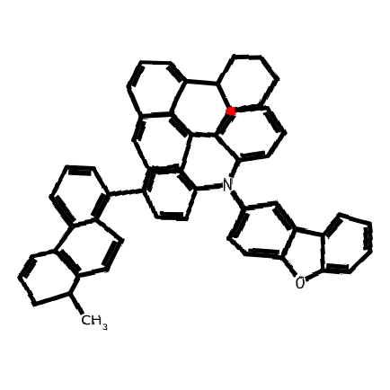 CC1CC=Cc2c1ccc1c(-c3ccc(N(c4ccc5oc6ccccc6c5c4)c4ccccc4-c4cccc5cccc(C6CCCCC6)c45)cc3)cccc21